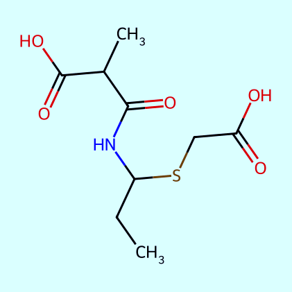 CCC(NC(=O)C(C)C(=O)O)SCC(=O)O